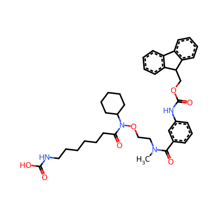 CN(CCON(C(=O)CCCCCCNC(=O)O)C1CCCCC1)C(=O)c1cccc(NC(=O)OCC2c3ccccc3-c3ccccc32)c1